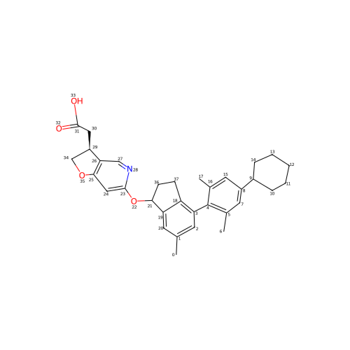 Cc1cc(-c2c(C)cc(C3CCCCC3)cc2C)c2c(c1)C(Oc1cc3c(cn1)[C@H](CC(=O)O)CO3)CC2